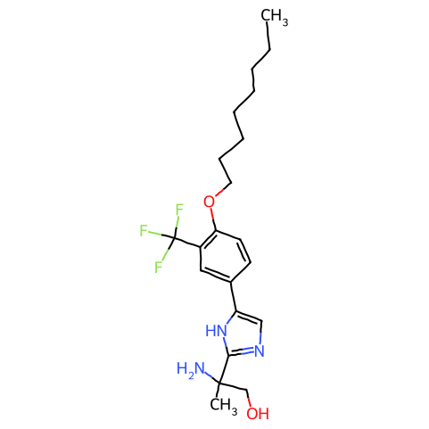 CCCCCCCCOc1ccc(-c2cnc(C(C)(N)CO)[nH]2)cc1C(F)(F)F